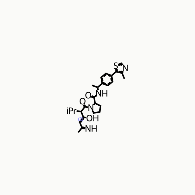 CC(=N)/C=C(\O)C(C(=O)N1CCCC1C(=O)NC(C)c1ccc(-c2scnc2C)cc1)C(C)C